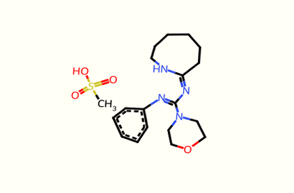 CS(=O)(=O)O.c1ccc(N=C(N=C2CCCCCCN2)N2CCOCC2)cc1